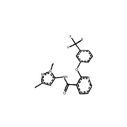 Cc1cc(NC(=O)c2cccnc2Oc2cccc(C(F)(F)F)c2)n(C)n1